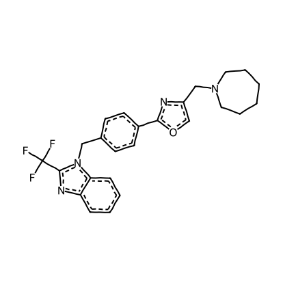 FC(F)(F)c1nc2ccccc2n1Cc1ccc(-c2nc(CN3CCCCCC3)co2)cc1